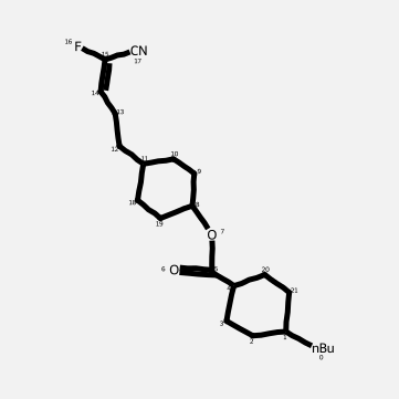 CCCCC1CCC(C(=O)OC2CCC(CC/C=C(/F)C#N)CC2)CC1